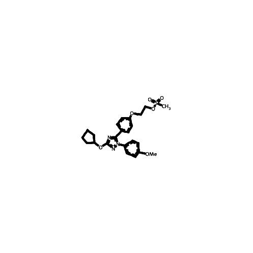 COc1ccc(-n2nc(OC3CCCC3)nc2-c2ccc(OCCOS(C)(=O)=O)cc2)cc1